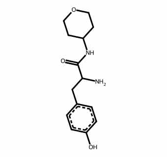 NC(Cc1ccc(O)cc1)C(=O)NC1CCOCC1